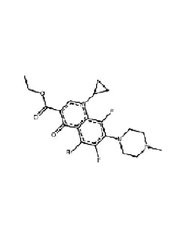 CCOC(=O)c1cn(C2CC2)c2c(F)c(N3CCN(C)CC3)c(F)c(Br)c2c1=O